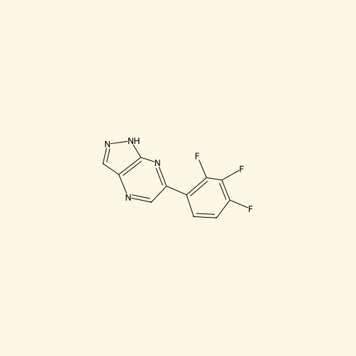 Fc1ccc(-c2cnc3cn[nH]c3n2)c(F)c1F